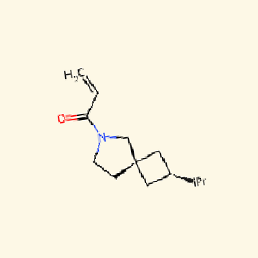 C=CC(=O)N1CC[C@]2(C1)C[C@H](C(C)C)C2